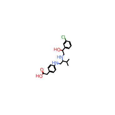 CC(C)C(CNc1ccc(CC(=O)O)cc1)NCC(O)c1cccc(Cl)c1